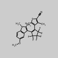 COc1ccc2c(c1)c(C1=C(c3c(C)sc(C#N)c3C)C(F)(F)C(F)(F)C1(F)F)c(C)n2C